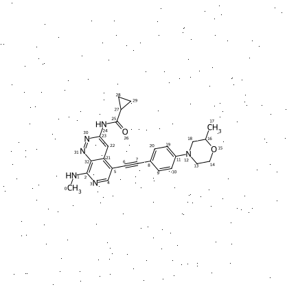 CNc1ncc(C#Cc2ccc(N3CCOC(C)C3)cc2)c2cc(NC(=O)C3CC3)nnc12